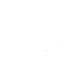 O=C(O)C1(Br)CCCCC1Br.[GaH3]